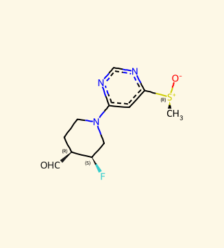 C[S@+]([O-])c1cc(N2CC[C@H](C=O)[C@H](F)C2)ncn1